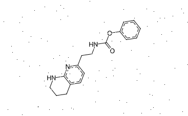 O=C(NCCc1ccc2c(n1)NCCC2)Oc1ccccc1